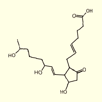 CC(O)CCCC(O)C=CC1C(O)CC(=O)C1CC=CCCCC(=O)O